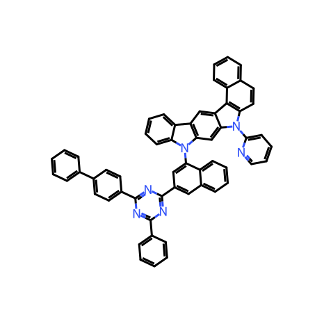 c1ccc(-c2ccc(-c3nc(-c4ccccc4)nc(-c4cc(-n5c6ccccc6c6cc7c8c9ccccc9ccc8n(-c8ccccn8)c7cc65)c5ccccc5c4)n3)cc2)cc1